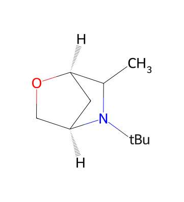 CC1[C@H]2C[C@H](CO2)N1C(C)(C)C